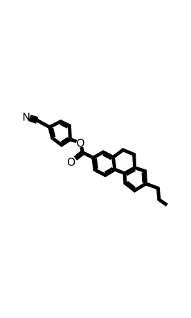 CCCc1ccc2c(c1)CCc1cc(C(=O)Oc3ccc(C#N)cc3)ccc1-2